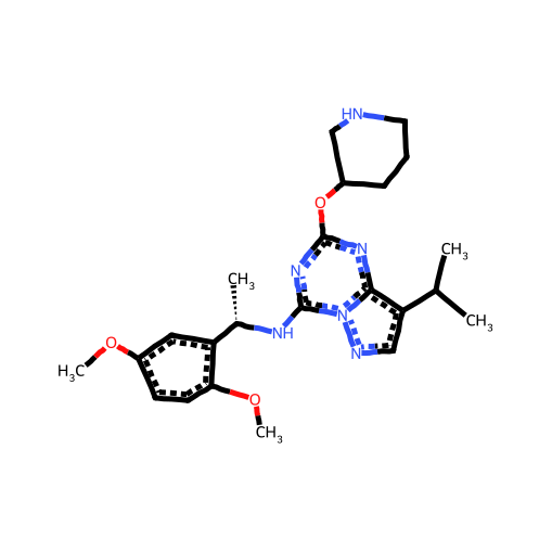 COc1ccc(OC)c([C@H](C)Nc2nc(OC3CCCNC3)nc3c(C(C)C)cnn23)c1